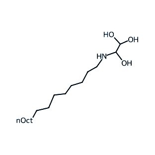 CCCCCCCCCCCCCCCCNC(O)C(O)O